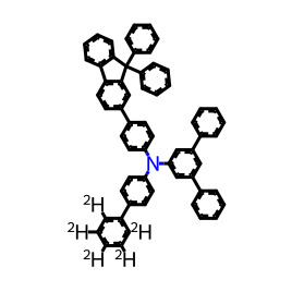 [2H]c1c([2H])c([2H])c(-c2ccc(N(c3ccc(-c4ccc5c(c4)C(c4ccccc4)(c4ccccc4)c4ccccc4-5)cc3)c3cc(-c4ccccc4)cc(-c4ccccc4)c3)cc2)c([2H])c1[2H]